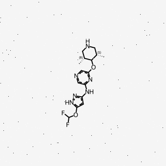 C[C@@H]1CNC[C@H](C)C1Oc1cncc(Nc2cc(OC(F)F)[nH]n2)n1